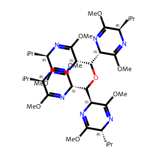 COC1=N[C@H](C(C)C)C(OC)=N[C@H]1C(OC([C@@H]1N=C(OC)[C@@H](C(C)C)N=C1OC)[C@@H]1N=C(OC)[C@@H](C(C)C)N=C1OC)[C@@H]1N=C(OC)[C@@H](C(C)C)N=C1OC